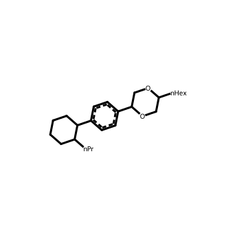 CCCCCCC1COC(c2ccc(C3CCCCC3CCC)cc2)CO1